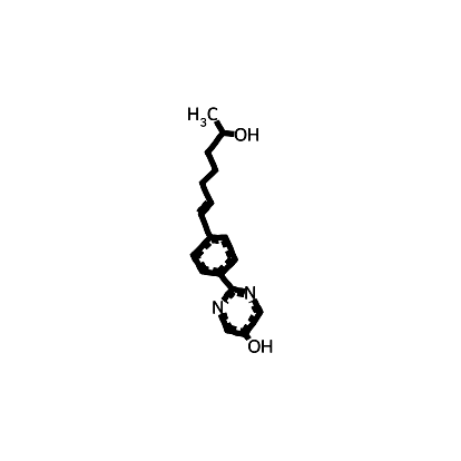 CC(O)CCCC=Cc1ccc(-c2ncc(O)cn2)cc1